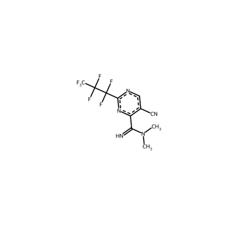 CN(C)C(=N)c1nc(C(F)(F)C(F)(F)C(F)(F)F)ncc1C#N